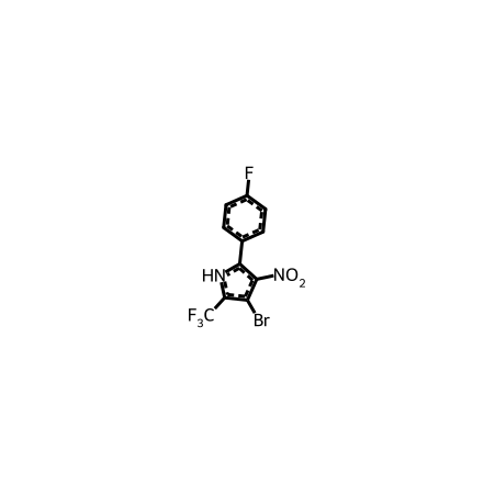 O=[N+]([O-])c1c(-c2ccc(F)cc2)[nH]c(C(F)(F)F)c1Br